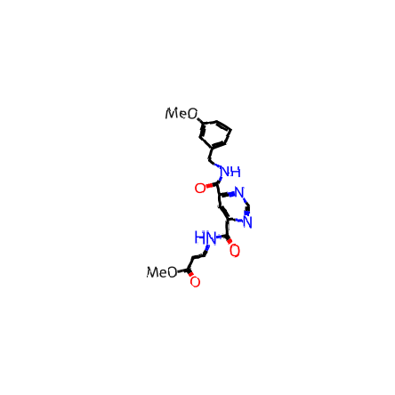 COC(=O)CCNC(=O)c1cc(C(=O)NCc2cccc(OC)c2)ncn1